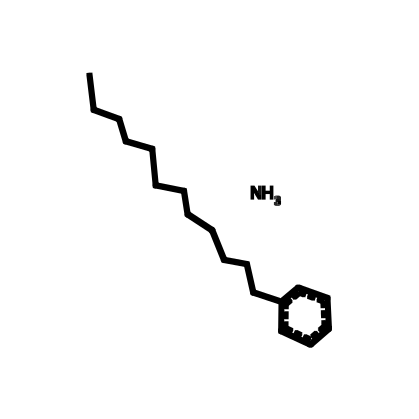 CCCCCCCCCCCCc1ccccc1.N